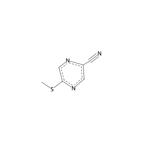 CSc1cnc(C#N)cn1